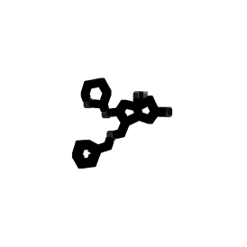 CC12CC(=O)CC1C(COCc1ccccc1)C(OC1CCCCO1)C2